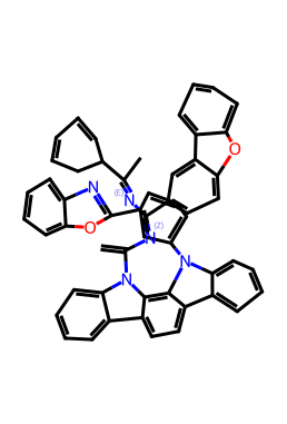 C=C(/N=C(\N=C(/C)C1C=CC=CC1)c1ccc2oc3ccccc3c2c1)n1c2ccccc2c2ccc3c4ccccc4n(-c4cccc(-c5nc6ccccc6o5)c4)c3c21